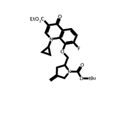 C=C1CC(COc2c(F)ccc3c(=O)c(C(=O)OCC)cn(C4CC4)c23)N(C(=O)OC(C)(C)C)C1